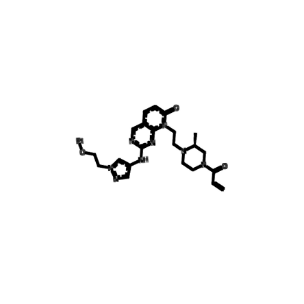 C=CC(=O)N1CCN(CCn2c(=O)ccc3cnc(Nc4cnn(CCOCC)c4)nc32)[C@@H](C)C1